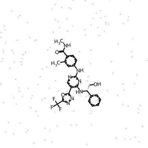 CNC(=O)c1ccc(Nc2ncc(-c3nnc(C(F)(F)F)o3)c(N[C@H](CO)c3ccccc3)n2)cc1C